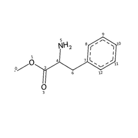 [CH2]OC(=O)C(N)Cc1ccccc1